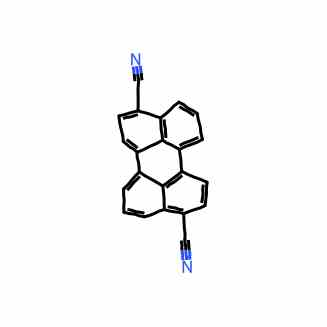 N#Cc1ccc2c3cccc4c(C#N)ccc(c5cccc1c52)c43